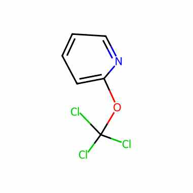 ClC(Cl)(Cl)Oc1ccccn1